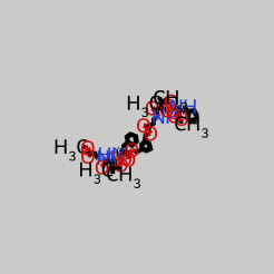 COC(=O)CCNC(=O)[C@@H]1OP(=O)(N[C@@H](Cc2ccccc2)C(=O)OCc2cccc(COC(=O)CCNC(=O)[C@@H]3OP(=O)(N[C@@H](Cc4ccccc4)C(=O)OC)OCC3(C)C)c2)OCC1(C)C